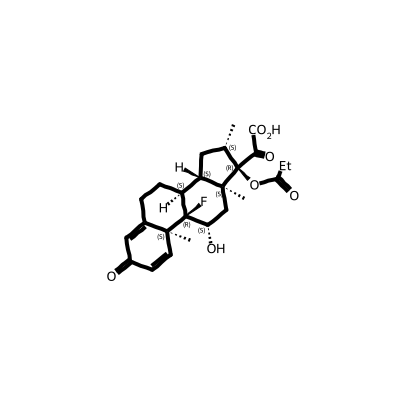 CCC(=O)O[C@]1(C(=O)C(=O)O)[C@@H](C)C[C@H]2[C@@H]3CCC4=CC(=O)C=C[C@]4(C)[C@@]3(F)[C@@H](O)C[C@@]21C